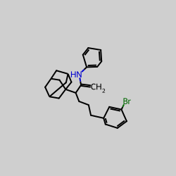 C=C(Nc1ccccc1)C(CCCc1cccc(Br)c1)C12CC3CC(CC(C3)C1)C2